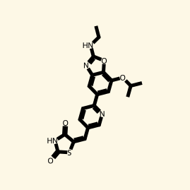 CCNc1nc2cc(-c3ccc(C=C4SC(=O)NC4=O)cn3)cc(OC(C)C)c2o1